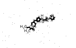 CCCC(C)C(=O)N1CCC(Cc2ccc(NC(=O)C3CN(c4cccnn4)C3)cc2)CC1